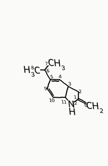 C=C1CC2C=C(C(C)C)C=CC2N1